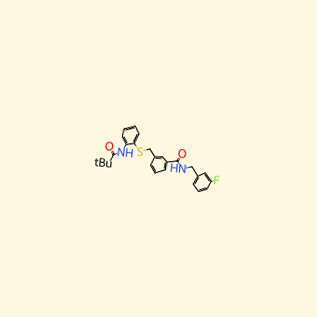 CC(C)(C)C(=O)Nc1ccccc1SCc1cccc(C(=O)NCc2cccc(F)c2)c1